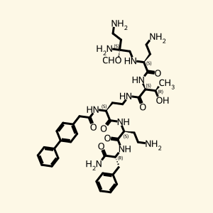 C[C@@H](O)[C@H](NC(=O)[C@H](CCN)NC[C@](N)(C=O)CCN)C(=O)NCC[C@H](NC(=O)Cc1ccc(-c2ccccc2)cc1)C(=O)N[C@@H](CCN)C(=O)N[C@H](Cc1ccccc1)C(N)=O